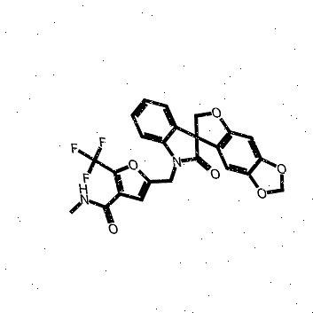 CNC(=O)c1cc(CN2C(=O)C3(COc4cc5c(cc43)OCO5)c3ccccc32)oc1C(F)(F)F